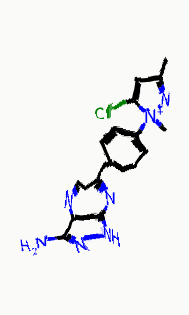 CC1=N[N+](C)(c2ccc(-c3cnc4c(N)n[nH]c4n3)cc2)C(Cl)=C1